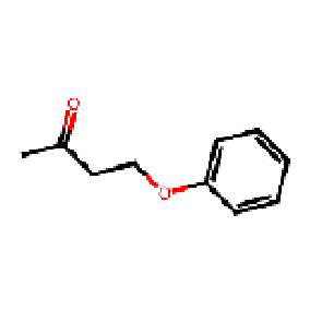 CC(=O)C[CH]Oc1ccccc1